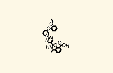 CCOc1ccccc1OC1CCCN(c2ncc(C(=O)NC(C)c3cccc(C(=O)O)c3)cn2)C1